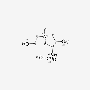 C[N+](CCO)(CCO)CCO.O=C[O-]